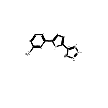 Cc1cccc(-c2ccc(-c3nnn[nH]3)s2)c1